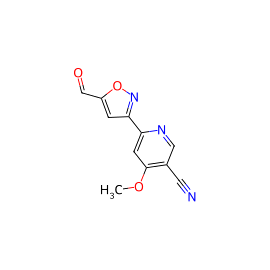 COc1cc(-c2cc(C=O)on2)ncc1C#N